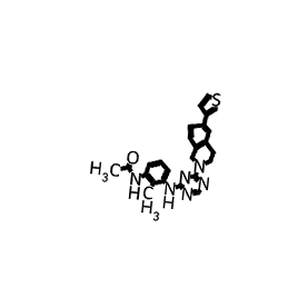 CC(=O)Nc1cccc(Nc2ncnc(N3CCc4cc(-c5ccsc5)ccc4C3)n2)c1C